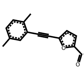 Cc1ccc(C)c(C#Cc2ccc([C]=O)o2)c1